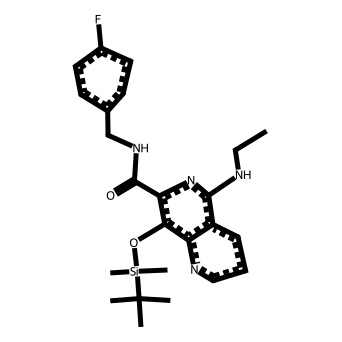 CCNc1nc(C(=O)NCc2ccc(F)cc2)c(O[Si](C)(C)C(C)(C)C)c2ncccc12